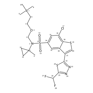 CC1(N(COCC[Si](C)(C)C)S(=O)(=O)c2cc(Cl)c3scc(-c4nnc(C(F)F)s4)c3c2)CC1